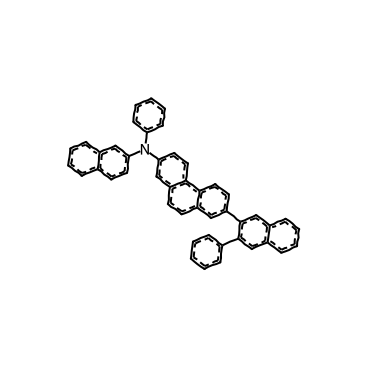 c1ccc(-c2cc3ccccc3cc2-c2ccc3c(ccc4cc(N(c5ccccc5)c5ccc6ccccc6c5)ccc43)c2)cc1